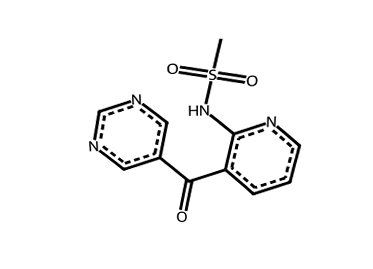 CS(=O)(=O)Nc1ncccc1C(=O)c1cncnc1